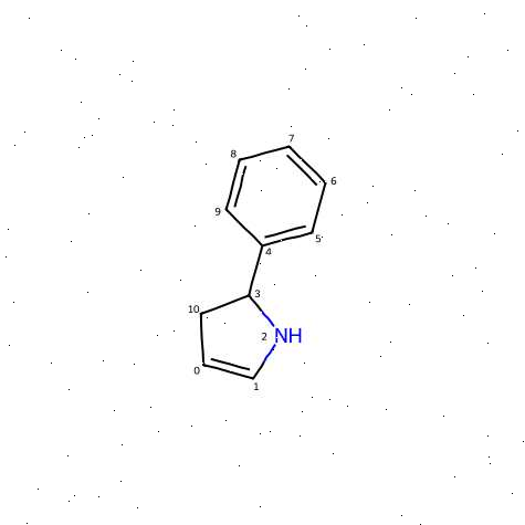 C1=CNC(c2ccccc2)C1